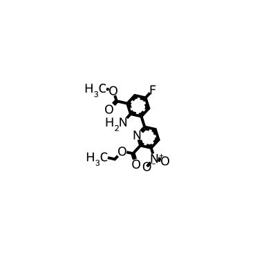 CCOC(=O)c1nc(-c2cc(F)cc(C(=O)OC)c2N)ccc1[N+](=O)[O-]